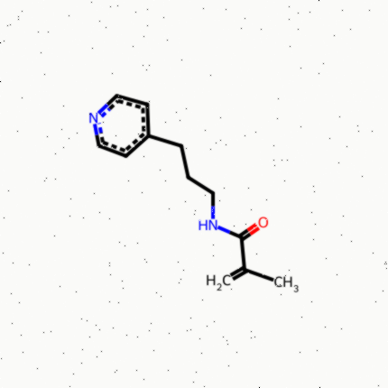 C=C(C)C(=O)NCCCc1ccncc1